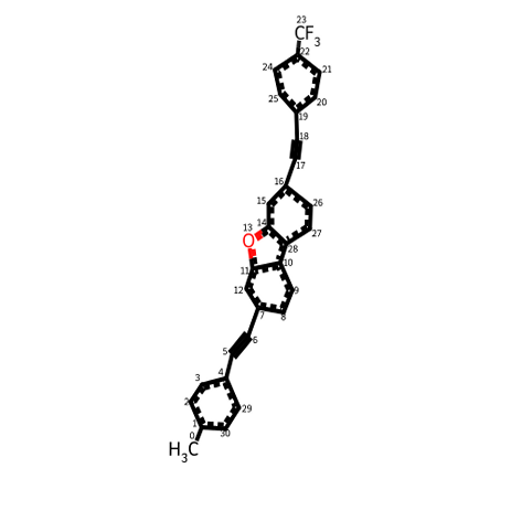 Cc1ccc(C#Cc2ccc3c(c2)oc2cc(C#Cc4ccc(C(F)(F)F)cc4)ccc23)cc1